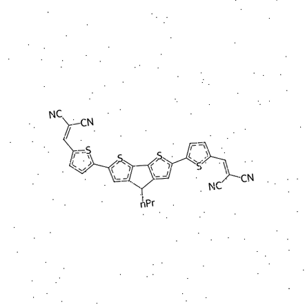 CCCC1c2cc(-c3ccc(C=C(C#N)C#N)s3)sc2-c2sc(-c3ccc(C=C(C#N)C#N)s3)cc21